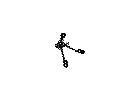 CC1(C)OC[C@H]2O[C@@H](OCc3ccccc3)[C@H](NC(=O)CCCCCCCCc3ccc4ccccc4c3)[C@@H](OC(=O)CCCCCCCCc3ccc4ccccc4c3)[C@@H]2O1